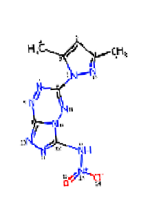 Cc1cc(C)n(-c2nnc3nnc(N[N+](=O)[O-])n3n2)n1